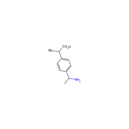 CC(N)c1ccc(C(C(=O)O)C(C)(C)C)cc1